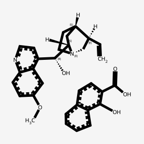 C=C[C@H]1C[N@]2CC[C@H]1C[C@H]2[C@H](O)c1ccnc2ccc(OC)cc12.O=C(O)c1ccc2ccccc2c1O